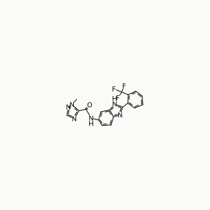 Cn1ncnc1C(=O)Nc1ccc2nc(-c3ccccc3C(F)(F)F)[nH]c2c1